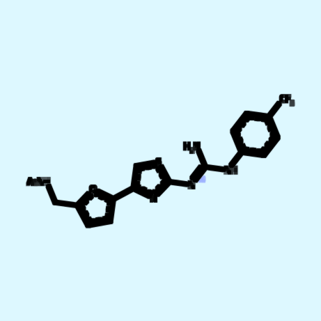 CC(=O)NCc1ccc(-c2csc(/N=C(\N)Nc3ccc(C(F)(F)F)cc3)n2)o1